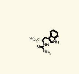 NC(=O)N[C@@H](Cc1c[nH]c2ccccc12)C(=O)O